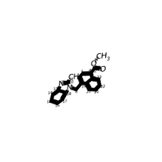 COC(=O)c1ccc(Cn2c(C)nc3ccccc32)c2ccccc12